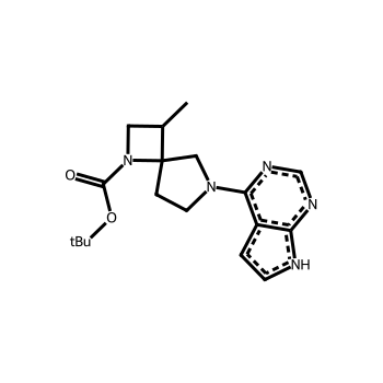 CC1CN(C(=O)OC(C)(C)C)C12CCN(c1ncnc3[nH]ccc13)C2